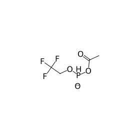 CC(=O)O[PH](=O)OCC(F)(F)F